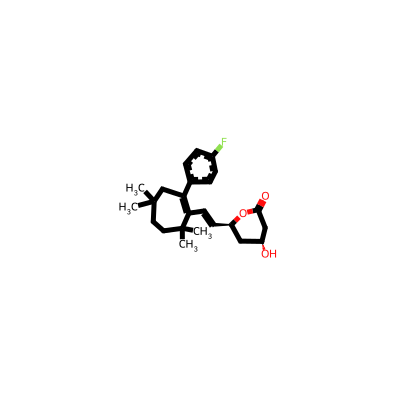 CC1(C)CCC(C)(C)C(/C=C/[C@@H]2C[C@@H](O)CC(=O)O2)=C(c2ccc(F)cc2)C1